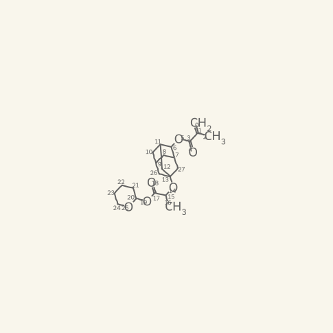 C=C(C)C(=O)OC1C2CC3CC1CC(OC(C)C(=O)OC1CCCCO1)(C3)C2